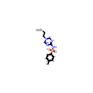 CCCCCCCCCCCCN1CN=C(NS(=O)(=O)c2ccc(C)cc2)NC1